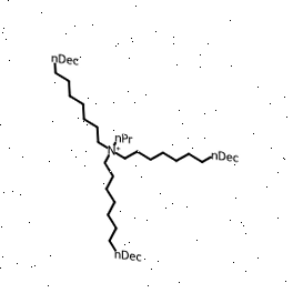 CCCCCCCCCCCCCCCCC[N+](CCC)(CCCCCCCCCCCCCCCCC)CCCCCCCCCCCCCCCCC